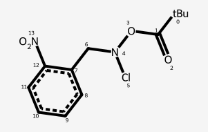 CC(C)(C)C(=O)ON(Cl)Cc1ccccc1[N+](=O)[O-]